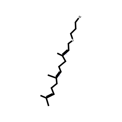 CC(C)=CCC/C(C)=C/CC/C(C)=C/CSCCCBr